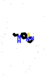 C=CCNc1ccc2c(c1)N1CCCN=C1S2